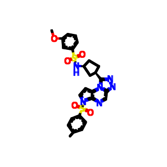 COc1cccc(S(=O)(=O)N[C@H]2CC[C@@H](c3nnc4cnc5c(ccn5S(=O)(=O)c5ccc(C)cc5)n34)C2)c1